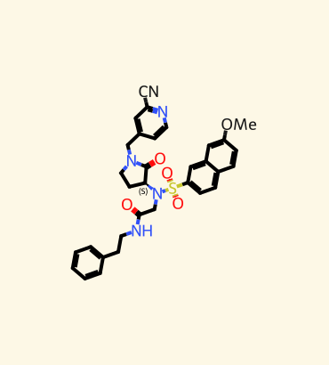 COc1ccc2ccc(S(=O)(=O)N(CC(=O)NCCc3ccccc3)[C@H]3CCN(Cc4ccnc(C#N)c4)C3=O)cc2c1